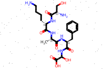 C[C@H](NC(=O)[C@H](CCCCN)NC(=O)[C@@H](N)CO)C(=O)N[C@@H](Cc1ccccc1)C(=O)NC(O)C(=O)O